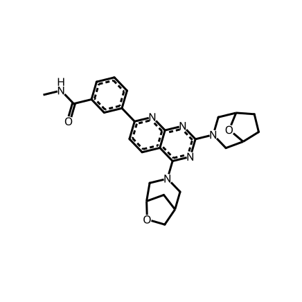 CNC(=O)c1cccc(-c2ccc3c(N4CC5COC(C5)C4)nc(N4CC5CCC(C4)O5)nc3n2)c1